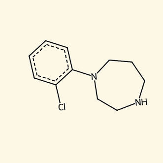 Clc1ccccc1N1CCCNCC1